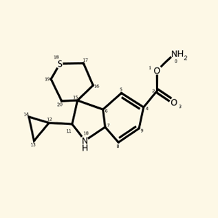 NOC(=O)C1=CC2C(C=C1)NC(C1CC1)C21CCSCC1